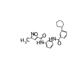 Cc1cc(C(=O)Nc2cccc(NC(=O)c3cccc(C4CCCCC4)c3)c2)on1